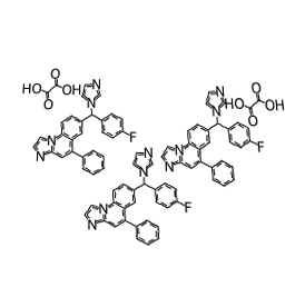 Fc1ccc(C(c2ccc3c(c2)c(-c2ccccc2)cc2nccn23)n2ccnc2)cc1.Fc1ccc(C(c2ccc3c(c2)c(-c2ccccc2)cc2nccn23)n2ccnc2)cc1.Fc1ccc(C(c2ccc3c(c2)c(-c2ccccc2)cc2nccn23)n2ccnc2)cc1.O=C(O)C(=O)O.O=C(O)C(=O)O